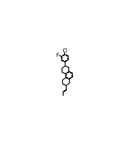 C/C=C/C1CCc2c(ccc3c2CCC(c2ccc(Cl)c(F)c2)C3)C1